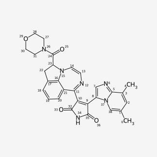 Cc1cc(C)c2ncc(C3=C(C4=NC=CN5c6c(cccc64)CC5C(=O)N4CCOCC4)C(=O)NC3=O)n2c1